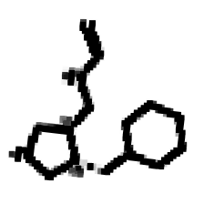 O=CNC[C@@H]1CNC[C@H]1CC1CCCCC1